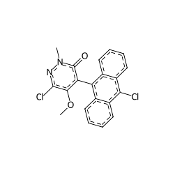 COc1c(Cl)nn(C)c(=O)c1-c1c2ccccc2c(Cl)c2ccccc12